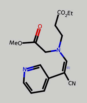 CCOC(=O)CCN(/C=C(/C#N)c1cccnc1)CC(=O)OC